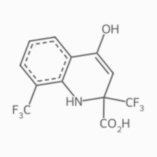 O=C(O)C1(C(F)(F)F)C=C(O)c2cccc(C(F)(F)F)c2N1